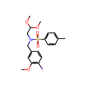 COc1cc(CN(CC(OC)OC)S(=O)(=O)c2ccc(C)cc2)ccc1I